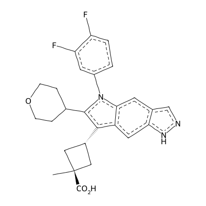 C[C@]1(C(=O)O)C[C@H](c2c(C3CCOCC3)n(-c3ccc(F)c(F)c3)c3cc4cn[nH]c4cc32)C1